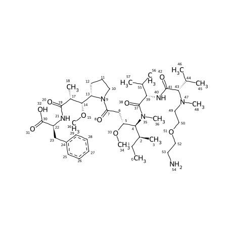 CC[C@H](C)[C@@H]([C@@H](CC(=O)N1CCC[C@H]1[C@H](OC)[C@@H](C)C(=O)N[C@@H](Cc1ccccc1)C(=O)O)OC)N(C)C(=O)[C@@H](NC(=O)[C@H](C(C)C)N(C)CCOCCN)C(C)C